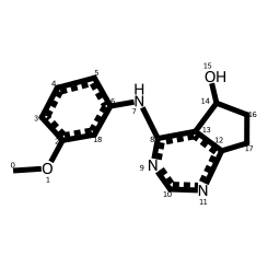 COc1cccc(Nc2ncnc3c2C(O)CC3)c1